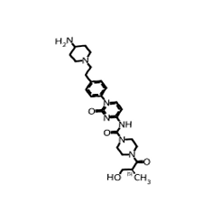 C[C@@H](CO)C(=O)N1CCN(C(=O)Nc2ccn(-c3ccc(CCN4CCC(N)CC4)cc3)c(=O)n2)CC1